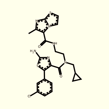 Cc1nc2sccn2c1C(=O)NCCN(CC1CC1)C(=O)c1nc(N)sc1-c1cccc(Cl)c1